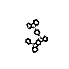 c1ccc(-n2c3ccccc3c3cc4c5ccccc5n(-c5ccc(-n6c7ccccc7c7ccncc76)cc5)c4cc32)cc1